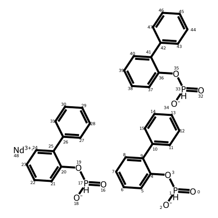 O=[PH]([O-])Oc1ccccc1-c1ccccc1.O=[PH]([O-])Oc1ccccc1-c1ccccc1.O=[PH]([O-])Oc1ccccc1-c1ccccc1.[Nd+3]